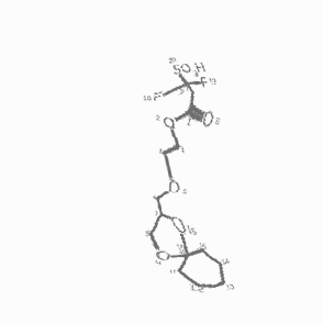 O=C(OCCOCC1COC2(CCCCC2)O1)C(F)(F)S(=O)(=O)O